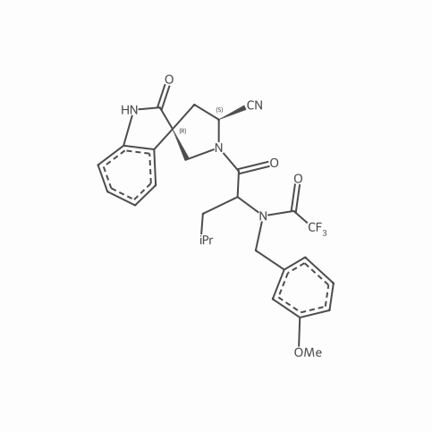 COc1cccc(CN(C(=O)C(F)(F)F)C(CC(C)C)C(=O)N2C[C@]3(C[C@H]2C#N)C(=O)Nc2ccccc23)c1